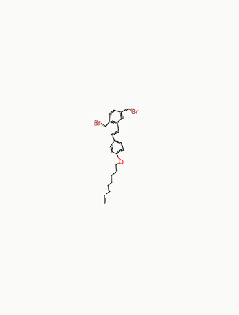 CCCCCCCCOc1ccc(/C=C/c2cc(CBr)ccc2CBr)cc1